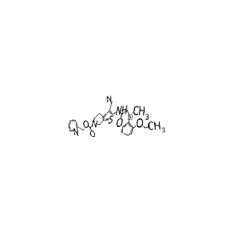 CCOc1ccccc1[C@@H](C)CC(=O)Nc1sc2c(c1C#N)CCN(C(=O)OCc1ccccn1)C2